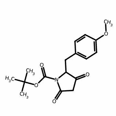 COc1ccc(CC2C(=O)CC(=O)N2C(=O)OC(C)(C)C)cc1